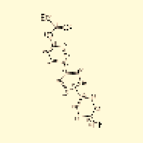 CCC(=O)Oc1ccc(-c2ccc(C3=CCC(CC)CC3)cc2)cc1